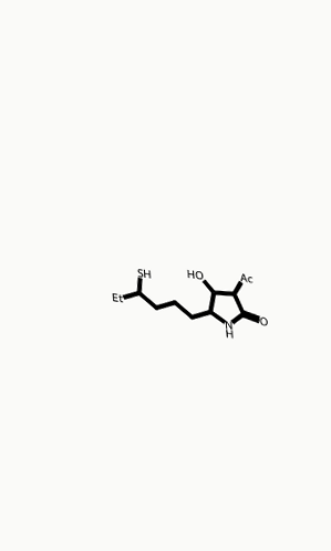 CCC(S)CCCC1NC(=O)C(C(C)=O)C1O